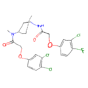 CN(C(=O)COc1ccc(Cl)c(Cl)c1)C1CC(C)(NC(=O)COc2ccc(F)c(Cl)c2)C1